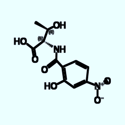 C[C@@H](O)[C@H](NC(=O)c1ccc([N+](=O)[O-])cc1O)C(=O)O